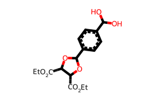 CCOC(=O)C1OC(c2ccc(C(O)O)cc2)OC1C(=O)OCC